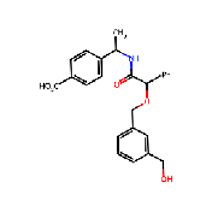 CC(NC(=O)C(OCc1cccc(CO)c1)C(C)C)c1ccc(C(=O)O)cc1